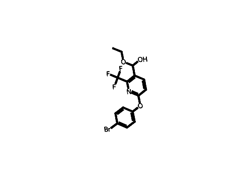 CCOC(O)c1ccc(Oc2ccc(Br)cc2)nc1C(F)(F)F